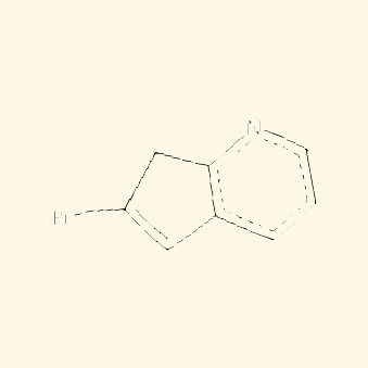 CC(C)C1=Cc2cccnc2C1